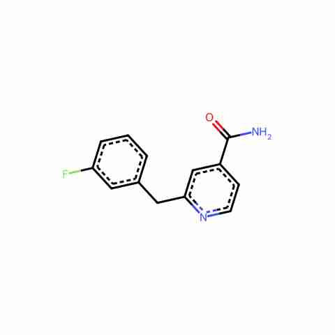 NC(=O)c1ccnc(Cc2cccc(F)c2)c1